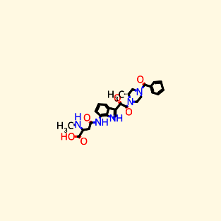 CNC(CC(=O)Nc1cccc2c(C(=O)C(=O)N3CCN(C(=O)c4ccccc4)C[C@H]3C)c[nH]c12)C(=O)O